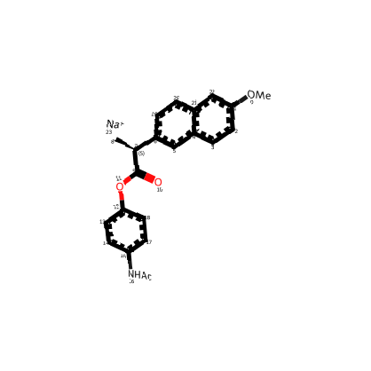 COc1ccc2cc([C@H](C)C(=O)Oc3ccc([N-]C(C)=O)cc3)ccc2c1.[Na+]